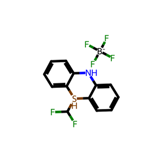 FC(F)[SH]1c2ccccc2Nc2ccccc21.F[B-](F)(F)F